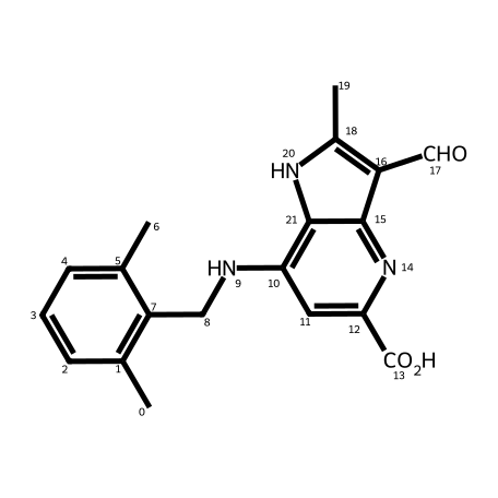 Cc1cccc(C)c1CNc1cc(C(=O)O)nc2c(C=O)c(C)[nH]c12